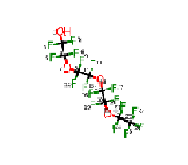 OC(F)(F)C(F)(F)OC(F)(F)C(F)(F)OC(F)(F)C(F)(F)OC(F)(F)C(F)(F)F